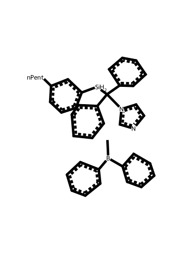 CB(c1ccccc1)c1ccccc1.CCCCCc1cccc([SiH2]C(c2ccccc2)(c2ccccc2)n2ccnc2)c1